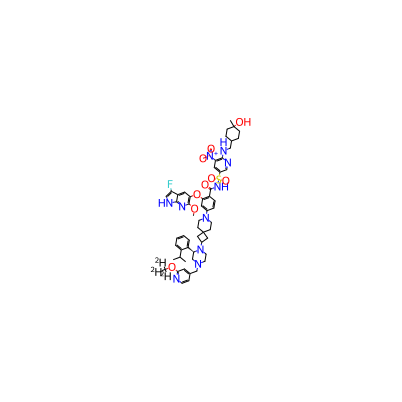 [2H]C([2H])([2H])Oc1cc(CN2CCN(C3CC4(CCN(c5ccc(C(=O)NS(=O)(=O)c6cnc(NCC7CCC(C)(O)CC7)c([N+](=O)[O-])c6)c(Oc6cc7c(F)c[nH]c7nc6OC)c5)CC4)C3)[C@H](c3ccccc3C(C)C)C2)ccn1